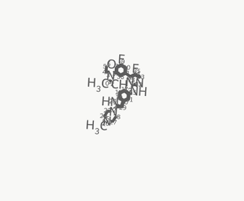 CC(C)N1CCOc2c(F)cc(-c3nc(Nc4ccc5[nH]c(N6CCN(C)CC6)cc5c4)ncc3F)cc21